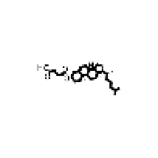 CC(C)CCC[C@@H](C)[C@H]1CCC2[C@@H]3CC=C4C[C@@H](OC(=O)CCC(=O)O)CC[C@]4(C)C3CC[C@@]21C